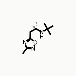 Cc1noc(C[C@H](C)NC(C)(C)C)n1